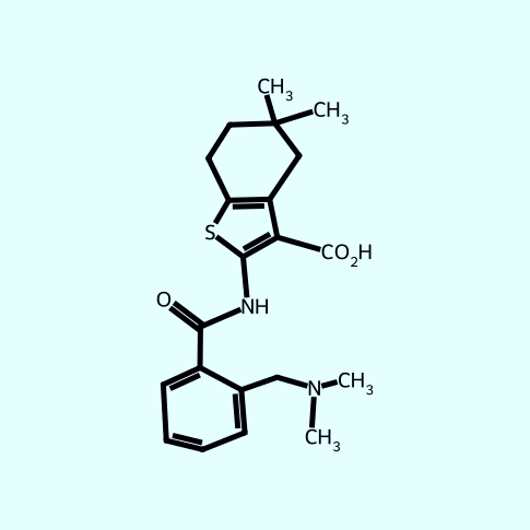 CN(C)Cc1ccccc1C(=O)Nc1sc2c(c1C(=O)O)CC(C)(C)CC2